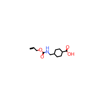 C=CCOC(=O)NCC1CCC(C(=O)O)CC1